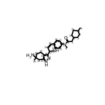 CC1CCC(CC(=O)N(C)c2ccc3c(c2)NC(c2n[nH]c4c2CCC(C)(N)C4)C=C3)CC1